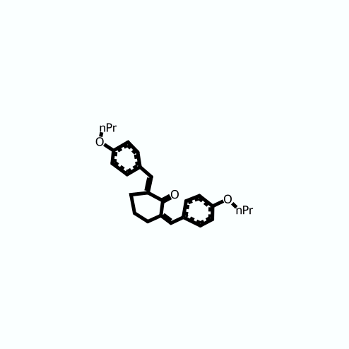 CCCOc1ccc(/C=C2/CCC/C(=C\c3ccc(OCCC)cc3)C2=O)cc1